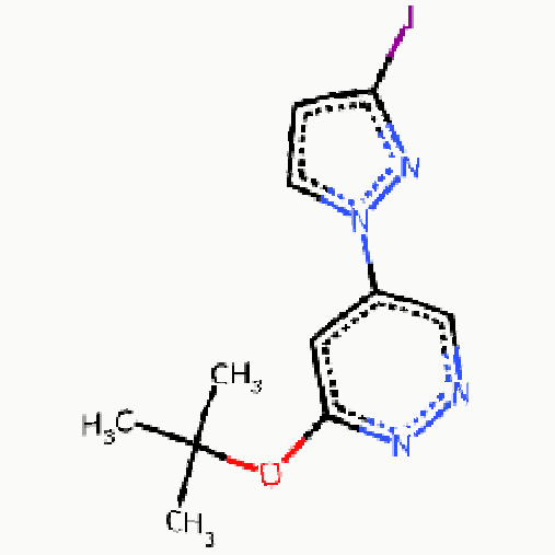 CC(C)(C)Oc1cc(-n2ccc(I)n2)cnn1